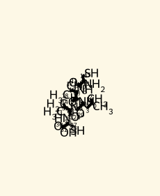 CC(C)C[C@H](NC(=O)[C@@H](NC(=O)[C@@H](N)CS)C(C)C)C(=O)N[C@H](C(=O)N[C@@H](CS)C(=O)O)C(C)C